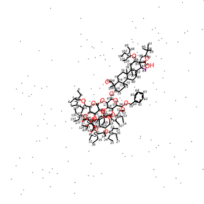 CC[Si](CC)(CC)OCC1O[C@@H](OC2C(O[C@@H]3OCC(O[Si](CC)(CC)CC)C(O[Si](CC)(CC)CC)C3O[Si](CC)(CC)CC)C(O[Si](CC)(CC)CC)C(C(=O)OCc3ccccc3)O[C@H]2O[C@H]2CCC3(C)C(CCC4(C)C3CC=C3C(I)[C@@](CCC(C)(C)C)(C(=O)O)[C@@H](O[Si](CC)(CC)CC)CC34C)C2(C)C=O)C(O[Si](CC)(CC)CC)C(O[Si](CC)(CC)CC)C1O[Si](CC)(CC)CC